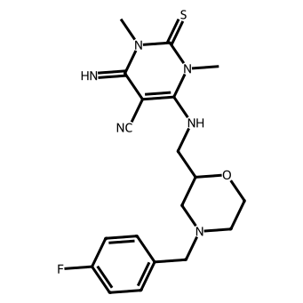 Cn1c(NCC2CN(Cc3ccc(F)cc3)CCO2)c(C#N)c(=N)n(C)c1=S